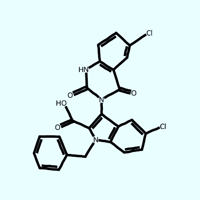 O=C(O)c1c(-n2c(=O)[nH]c3ccc(Cl)cc3c2=O)c2cc(Cl)ccc2n1Cc1ccccc1